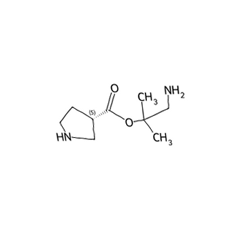 CC(C)(CN)OC(=O)[C@H]1CCNC1